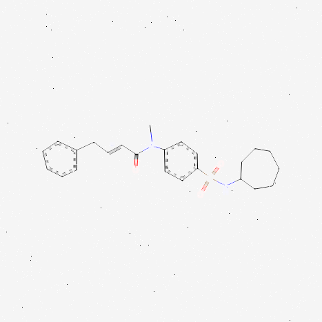 CN(C(=O)/C=C/Cc1ccccc1)c1ccc(S(=O)(=O)NC2CCCCCC2)cc1